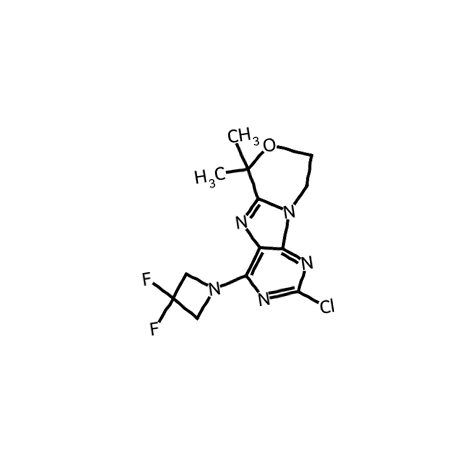 CC1(C)OCCn2c1nc1c(N3CC(F)(F)C3)nc(Cl)nc12